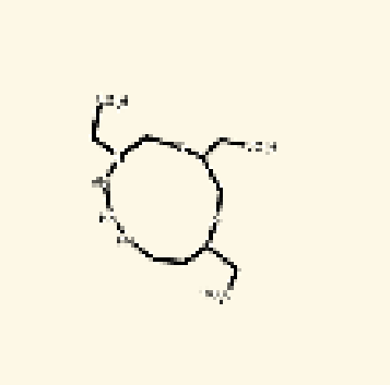 O=C(O)CC1CCNNNN(CC(=O)O)CCC(CC(=O)O)CC1